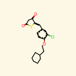 O=C1CC(=O)/C(=C/c2ccc(OCCC3CCCCC3)c(Cl)c2)S1